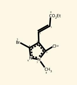 CCOC(=O)/C=C/c1c(Br)nn(C)c1Cl